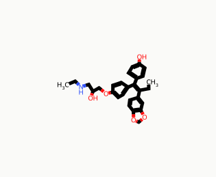 CCNCC(O)COc1ccc(C(=C(CC)c2ccc3c(c2)OCO3)c2ccc(O)cc2)cc1